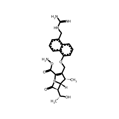 C[C@@H](O)[C@H]1C(=O)N2C(C(=O)ON)=C(COc3cccc4c(CNC(=N)N)cccc34)[C@H](C)[C@H]12